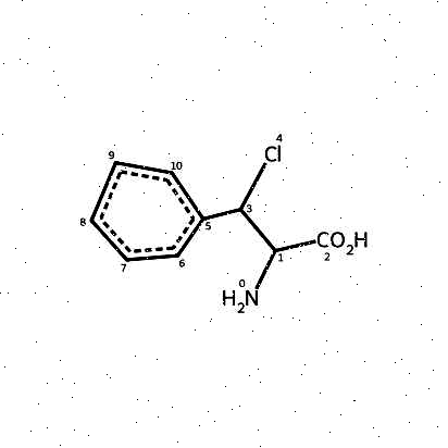 NC(C(=O)O)C(Cl)c1ccccc1